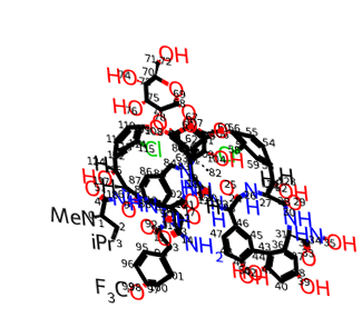 CN[C@H](CC(C)C)C(=O)N[C@H]1C(=O)N[C@@H](CC(N)=O)C(=O)N[C@H]2C(=O)N[C@H]3C(=O)N[C@H](C(=O)N[C@@H](C(=O)NO)c4cc(O)cc(O)c4-c4cc3ccc4O)[C@H](O)c3ccc(c(Cl)c3)Oc3cc2cc(c3O[C@@H]2O[C@H](CO)[C@@H](O)[C@H](O)[C@H]2O[C@H]2C[C@](C)(NCc3cccc(NC(=O)Cc4ccc(OC(F)(F)F)cc4)c3)[C@H](O)[C@H](C)O2)Oc2ccc(cc2Cl)[C@H]1O